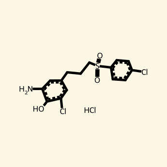 Cl.Nc1cc(CCCS(=O)(=O)c2ccc(Cl)cc2)cc(Cl)c1O